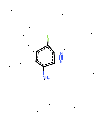 N#N.Nc1ccc(F)cc1